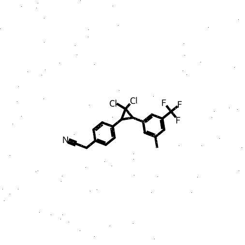 Cc1cc(C2C(c3ccc(CC#N)cc3)C2(Cl)Cl)cc(C(F)(F)F)c1